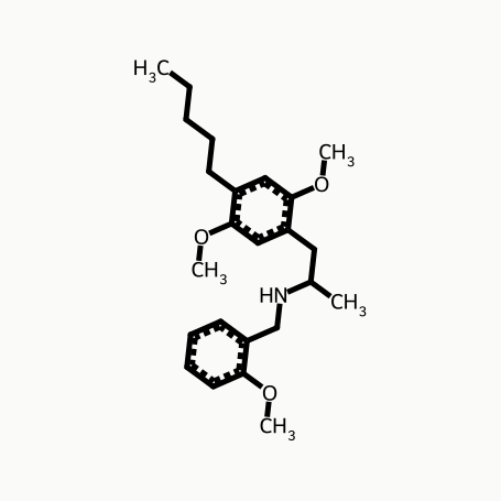 CCCCCc1cc(OC)c(CC(C)NCc2ccccc2OC)cc1OC